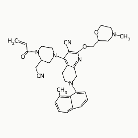 C=CC(=O)N1CCN(c2c(C#N)c(OCC3CN(C)CCO3)nc3c2CCN(c2cccc4cccc(C)c24)C3)CC1CC#N